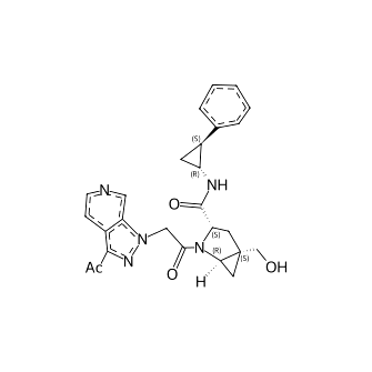 CC(=O)c1nn(CC(=O)N2[C@H](C(=O)N[C@@H]3C[C@H]3c3ccccc3)C[C@@]3(CO)C[C@@H]23)c2cnccc12